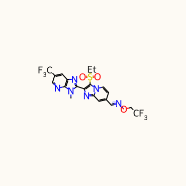 CCS(=O)(=O)c1c(-c2nc3cc(C(F)(F)F)cnc3n2C)nc2cc(/C=N/OCC(F)(F)F)ccn12